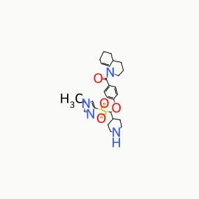 Cn1cnc(S(=O)(=O)C(Oc2ccc(C(=O)N3CCCC4CCCC=C43)cc2)C2CCNCC2)c1